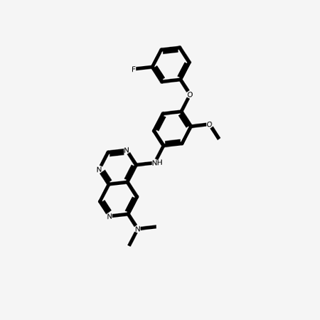 COc1cc(Nc2ncnc3cnc(N(C)C)cc23)ccc1Oc1cccc(F)c1